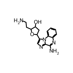 NCCC1OC(c2cnc3c(N)nc4ccccc4n23)CC1O